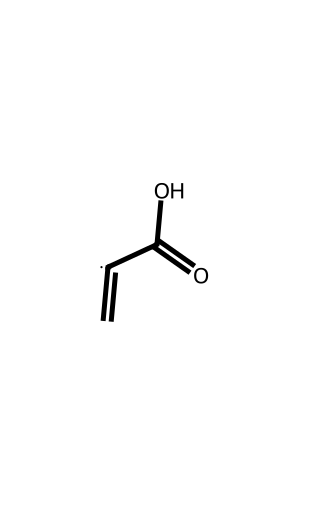 C=[C]C(=O)O